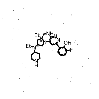 CCN(C1CCNCC1)[C@H]1CN2c3cc(-c4cccc(F)c4O)nnc3NC[C@@]2(CC)C1